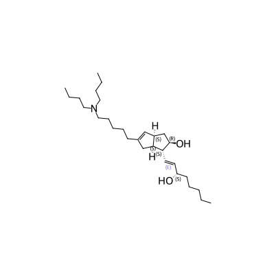 CCCCC[C@H](O)/C=C/[C@@H]1[C@H]2CC(CCCCCN(CCCC)CCCC)=C[C@H]2C[C@H]1O